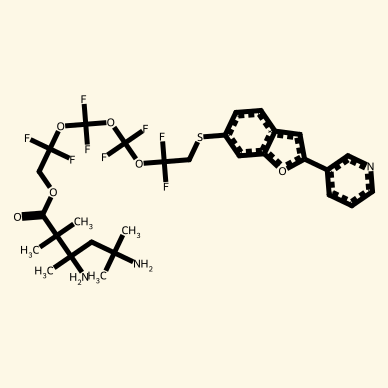 CC(C)(N)CC(C)(N)C(C)(C)C(=O)OCC(F)(F)OC(F)(F)OC(F)(F)OC(F)(F)CSc1ccc2cc(-c3cccnc3)oc2c1